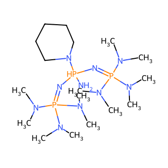 CN(C)P(=N[PH](N)(N=P(N(C)C)(N(C)C)N(C)C)N1CCCCC1)(N(C)C)N(C)C